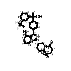 CC(O)(c1ccc(-c2nc([C@H]3CC[C@@H]4N(C3)C(=O)CCC4(F)F)n3ccnc(N)c23)cc1)c1cccc(C(F)(F)F)c1